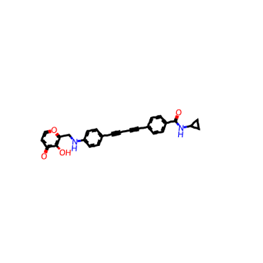 O=C(NC1CC1)c1ccc(C#CC#Cc2ccc(NCc3occc(=O)c3O)cc2)cc1